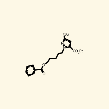 CCOC(=O)c1cc(C(C)(C)C)nn1CCCCCOC(=O)c1ccccc1